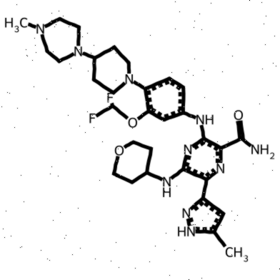 Cc1cc(-c2nc(C(N)=O)c(Nc3ccc(N4CCC(N5CCN(C)CC5)CC4)c(OC(F)F)c3)nc2NC2CCOCC2)n[nH]1